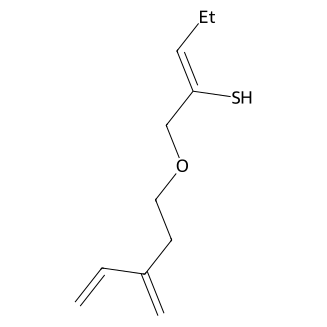 C=CC(=C)CCOC/C(S)=C/CC